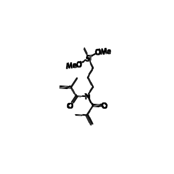 C=C(C)C(=O)N(CCC[Si](C)(OC)OC)C(=O)C(=C)C